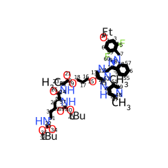 CCOc1cc(F)c(Cn2nc(-c3ncc(OCCCOC(=O)[C@H](C)NC(=O)[C@H](CCCCNC(=O)OC(C)(C)C)NC(=O)OC(C)(C)C)c(Nc4cc(C)ncc4C)n3)c3ccccc32)c(F)c1